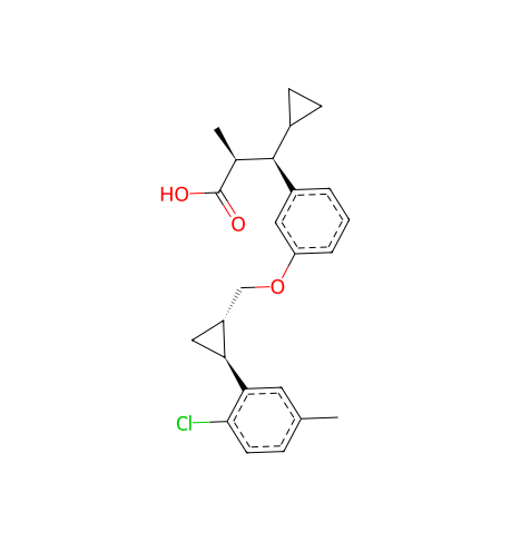 Cc1ccc(Cl)c([C@H]2C[C@@H]2COc2cccc([C@H](C3CC3)[C@H](C)C(=O)O)c2)c1